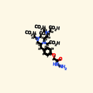 NNC(=O)COc1ccc(CC(CN(CC(=O)O)CC(=O)O)N(CCN(CC(=O)O)CC(=O)O)CC(=O)O)cc1